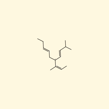 CC=C(C)[C](C=CC(C)C)CC=CCC